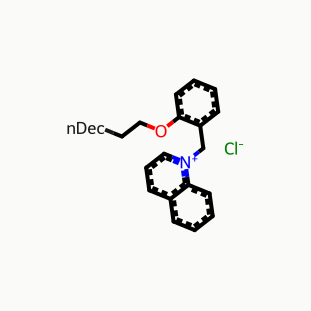 CCCCCCCCCCCCOc1ccccc1C[n+]1cccc2ccccc21.[Cl-]